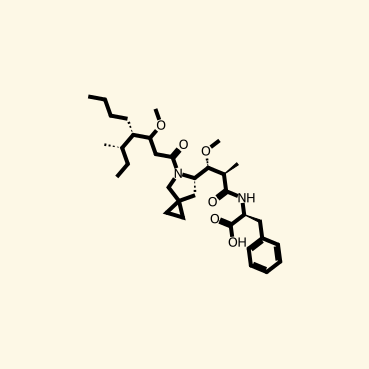 CCCC[C@H](C(CC(=O)N1CC2(CC2)C[C@H]1[C@H](OC)[C@@H](C)C(=O)N[C@@H](Cc1ccccc1)C(=O)O)OC)[C@@H](C)CC